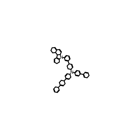 C1=CCC(C2=CCC(C3=CCC(N(c4ccc(C5=CCCC=C5)cc4)C4C=CC(c5cccc(N6C7=C(C=CCC7)C7C8CCCC=C8C=CC76)c5)CC4)C=C3)CC2)C=C1